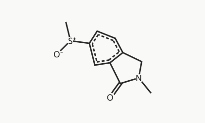 CN1Cc2ccc([S+](C)[O-])cc2C1=O